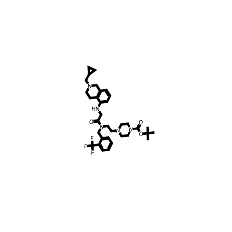 CC(C)(C)OC(=O)N1CCN(CCN(Cc2ccccc2C(F)(F)F)C(=O)CNc2cccc3c2CCN(CC2CC2)C3)CC1